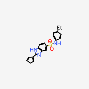 CCc1ccc(NS(=O)(=O)c2ccc3[nH]c(C4=CCC=C4)nc3c2)cc1